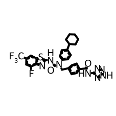 O=C(Nc1nn[nH]n1)c1ccc(CN(C(=O)Nc2nc3c(F)cc(C(F)(F)F)cc3s2)c2ccc(C3CCCCC3)cc2)cc1